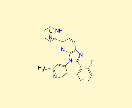 Cc1cc(-n2c(-c3ccccc3F)nc3ccc(N4CC5CCC4CN5)nc32)ccn1